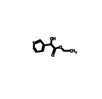 CCOC(=O)C(O)c1cccnc1